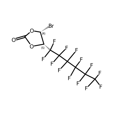 O=C1O[C@@H](C(F)(F)C(F)(F)C(F)(F)C(F)(F)C(F)(F)C(F)(F)F)[C@@H](Br)O1